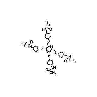 CC(=O)Nc1ccc(C=Cc2nc(C=Cc3ccc(NC(C)=O)cc3)c(C=Cc3ccc(NC(C)=O)cc3)nc2C=Cc2ccc(NC(C)=O)cc2)cc1